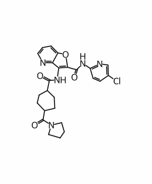 O=C(Nc1ccc(Cl)cn1)c1oc2cccnc2c1NC(=O)C1CCC(C(=O)N2CCCC2)CC1